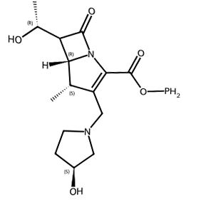 C[C@@H](O)C1C(=O)N2C(C(=O)OP)=C(CN3CC[C@H](O)C3)[C@H](C)[C@H]12